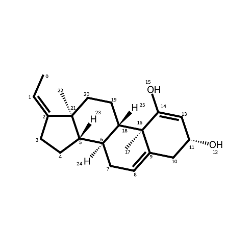 C/C=C1/CC[C@H]2[C@@H]3CC=C4C[C@@H](O)C=C(O)[C@]4(C)[C@H]3CC[C@]12C